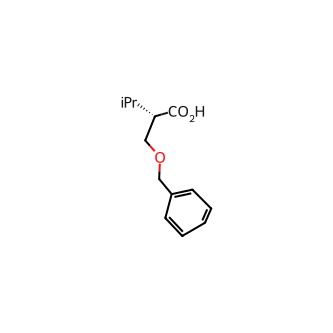 CC(C)[C@@H](COCc1ccccc1)C(=O)O